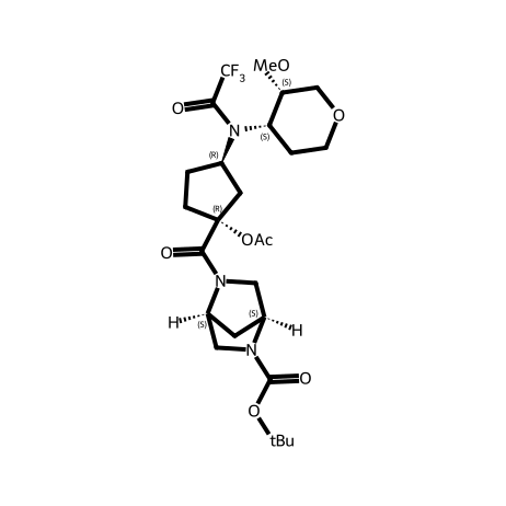 CO[C@@H]1COCC[C@@H]1N(C(=O)C(F)(F)F)[C@@H]1CC[C@](OC(C)=O)(C(=O)N2C[C@@H]3C[C@H]2CN3C(=O)OC(C)(C)C)C1